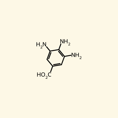 Nc1cc(C(=O)O)cc(N)c1N